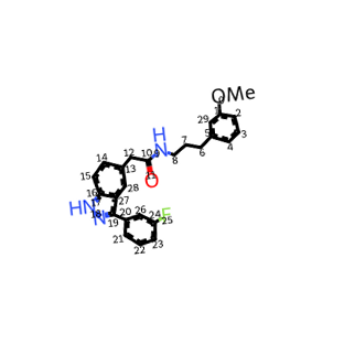 COc1cccc(CCCNC(=O)Cc2ccc3[nH]nc(-c4cccc(F)c4)c3c2)c1